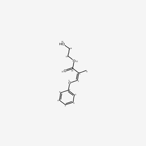 CC(=COc1ccccc1)C(=O)OCCO